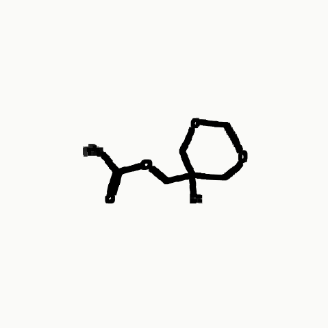 CCCCC(=O)OCC1(CC)COCOC1